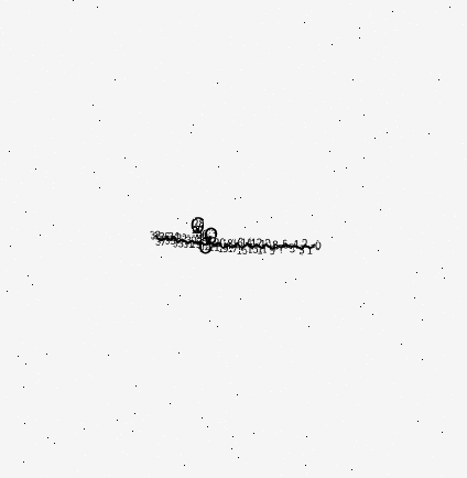 CCCCCCCCCCCCCCCCCCCCCCC(=O)OC(C[C]=O)CCCCCCCCCC